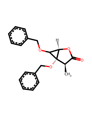 C[C@@H]1C(=O)O[C@@H]2C(OCc3ccccc3)[C@]12OCc1ccccc1